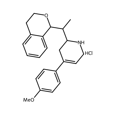 COc1ccc(C2=CCNC(C(C)C3OCCc4ccccc43)C2)cc1.Cl